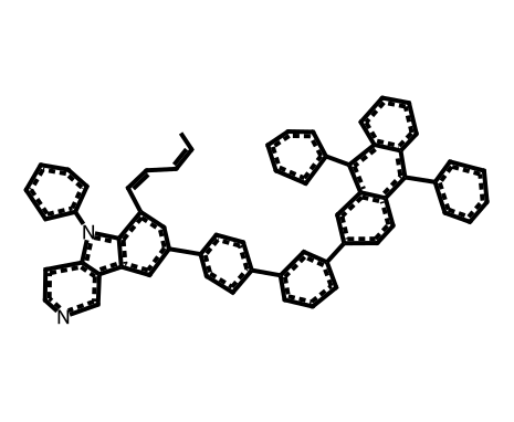 C/C=C\C=C/c1cc(-c2ccc(-c3cccc(-c4ccc5c(-c6ccccc6)c6ccccc6c(-c6ccccc6)c5c4)c3)cc2)cc2c3cnccc3n(-c3ccccc3)c12